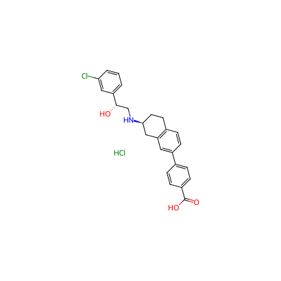 Cl.O=C(O)c1ccc(-c2ccc3c(c2)C[C@@H](NC[C@H](O)c2cccc(Cl)c2)CC3)cc1